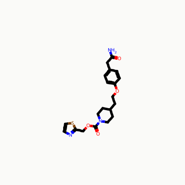 NC(=O)Cc1ccc(OCCC2CCN(C(=O)OCc3nccs3)CC2)cc1